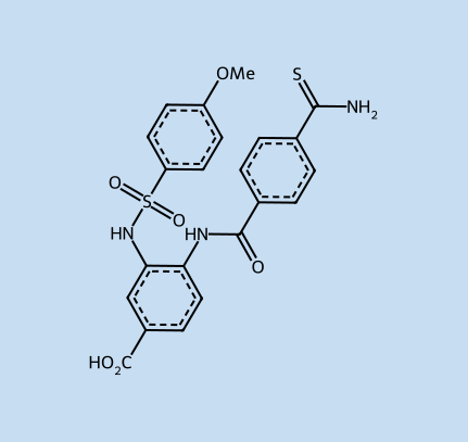 COc1ccc(S(=O)(=O)Nc2cc(C(=O)O)ccc2NC(=O)c2ccc(C(N)=S)cc2)cc1